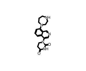 O=C1CCN(c2cncc3c(N4CCCNCC4)cccc23)C(=O)N1